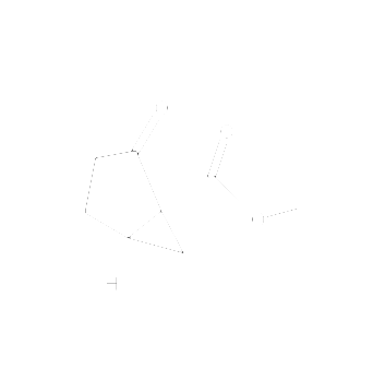 COC(=O)[C@]12C[C@H]1CCC2=O